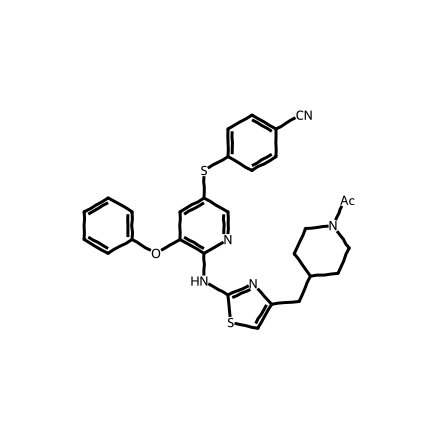 CC(=O)N1CCC(Cc2csc(Nc3ncc(Sc4ccc(C#N)cc4)cc3Oc3ccccc3)n2)CC1